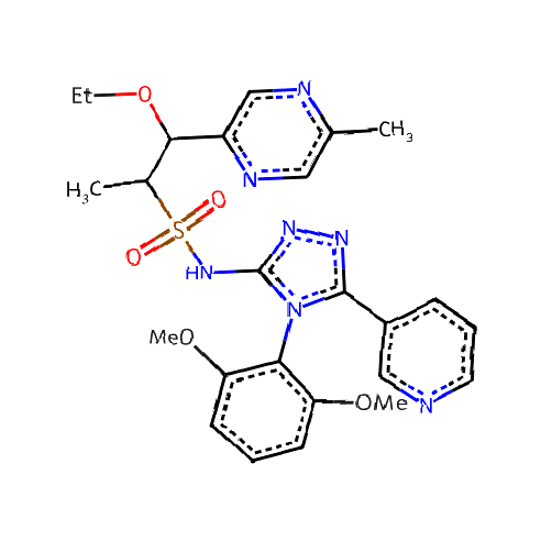 CCOC(c1cnc(C)cn1)C(C)S(=O)(=O)Nc1nnc(-c2cccnc2)n1-c1c(OC)cccc1OC